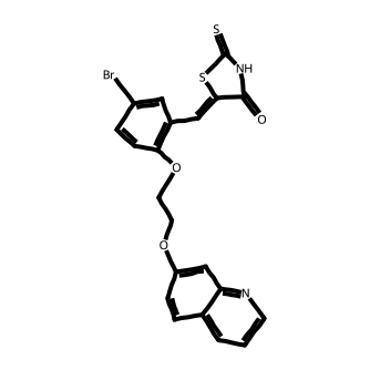 O=C1NC(=S)SC1=Cc1cc(Br)ccc1OCCOc1ccc2cccnc2c1